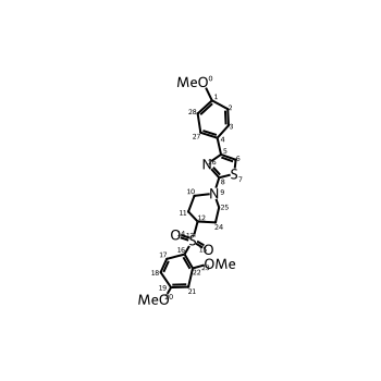 COc1ccc(-c2csc(N3CCC(S(=O)(=O)c4ccc(OC)cc4OC)CC3)n2)cc1